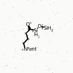 CCCCCCCCC(=O)[SiH2]O[SiH3]